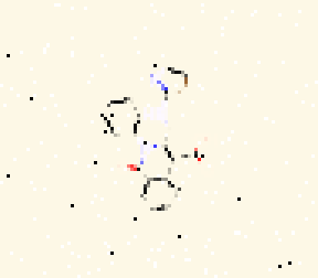 O=C(O)c1c(CNc2nccs2)n(-c2ccccc2)c(=O)c2ccccc12